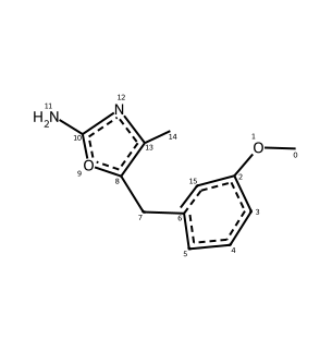 COc1cccc(Cc2oc(N)nc2C)c1